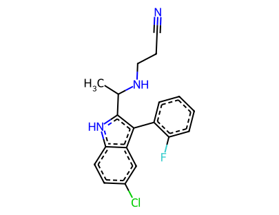 CC(NCCC#N)c1[nH]c2ccc(Cl)cc2c1-c1ccccc1F